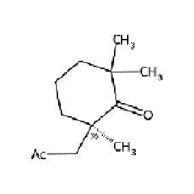 CC(=O)C[C@@]1(C)CCCC(C)(C)C1=O